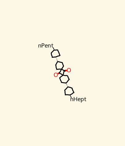 CCCCCCC[C@H]1CC[C@H](C2CCC3(CC2)C(=O)C2(CCC([C@H]4CC[C@H](CCCCC)CC4)CC2)C3=O)CC1